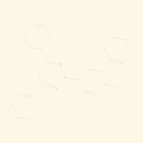 Cc1ccc(-c2nc(-c3ccccc3)nc(-c3ccccc3)n2)cc1-c1ccccc1